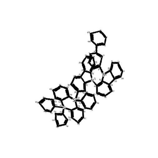 c1ccc(-c2cccc(-n3c4ccccc4c4cccc(-n5c6ccccc6c6ccc([Si]7(c8ccccc8)c8ccccc8[Si](c8ccccc8)(c8ccccc8)c8ccccc87)cc65)c43)c2)cc1